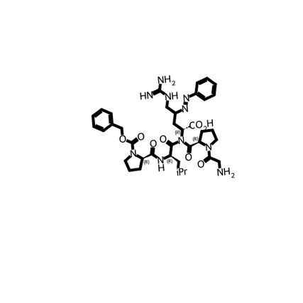 CC(C)C[C@@H](NC(=O)[C@H]1CCCN1C(=O)OCc1ccccc1)C(=O)N(C(=O)[C@H]1CCCN1C(=O)CN)[C@H](CC(CNC(=N)N)N=Nc1ccccc1)C(=O)O